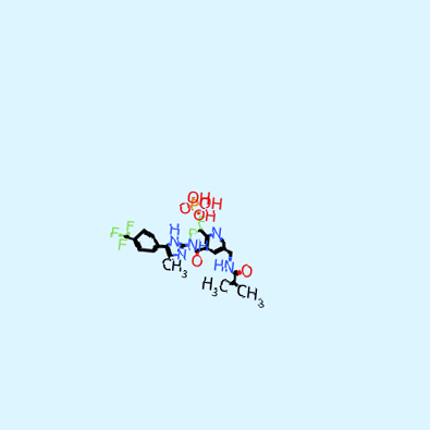 Cc1nc(NC(=O)c2cc(CNC(=O)C(C)C)cnc2C(F)F)[nH]c1-c1ccc(C(F)(F)F)cc1.O=P(O)(O)O